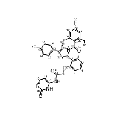 O=C(COc1ccccc1C1SC(c2ccc(F)cc2)=NN1C(=O)c1c(F)cc(F)cc1F)Nc1ccnc(=O)[nH]1